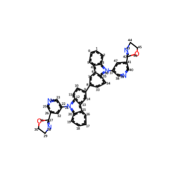 c1ccc2c(c1)c1cc(-c3ccc4c(c3)c3ccccc3n4-c3cncc(C4=NCCO4)c3)ccc1n2-c1cncc(C2=NCCO2)c1